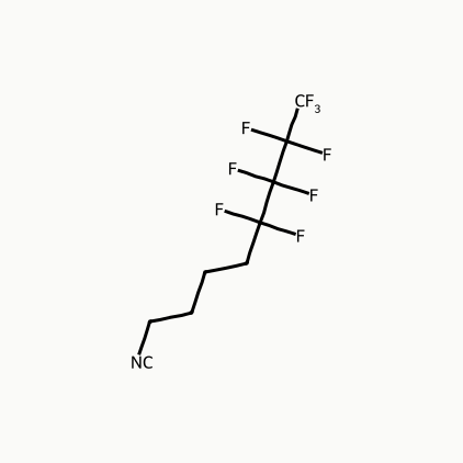 [C-]#[N+]CCCCC(F)(F)C(F)(F)C(F)(F)C(F)(F)F